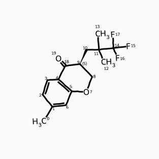 Cc1ccc2c(c1)OC[C@H](CC(C)(C)C(F)(F)F)C2=O